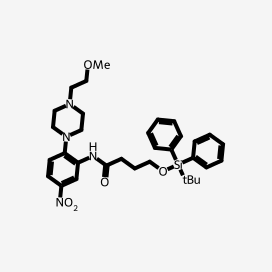 COCCN1CCN(c2ccc([N+](=O)[O-])cc2NC(=O)CCCO[Si](c2ccccc2)(c2ccccc2)C(C)(C)C)CC1